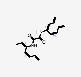 C=C/C=C\C(=C/C)NC(=O)C(=O)NC(/C=C\C=C)=C/C=C